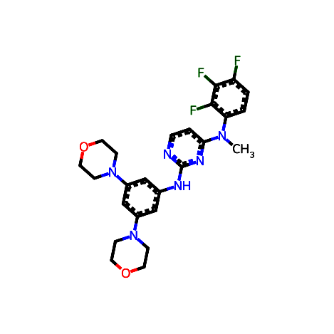 CN(c1ccnc(Nc2cc(N3CCOCC3)cc(N3CCOCC3)c2)n1)c1ccc(F)c(F)c1F